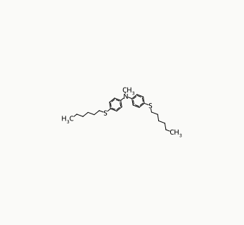 CCCCCCSc1ccc(N(C)c2ccc(SCCCCCC)cc2)cc1